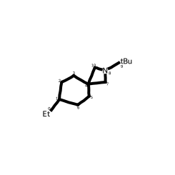 CCC1CCC2(CC1)CN(C(C)(C)C)C2